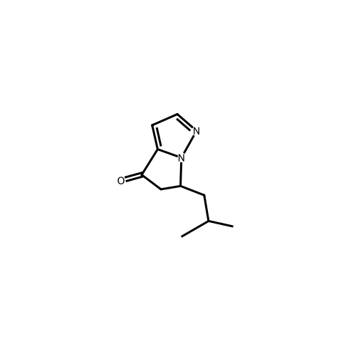 CC(C)CC1CC(=O)c2ccnn21